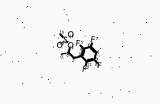 C[C@H](Cc1c(F)c(F)cc(F)c1F)OS(C)(=O)=O